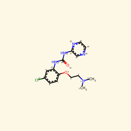 CN(C)CCOc1ccc(Cl)cc1NC(=O)Nc1cnccn1